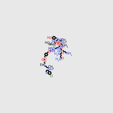 CCN(CCCC(C)Nc1ccnc2cc(Cl)ccc12)CCOC(=O)OCc1ccc(COC(=O)NC(=N)NCCC[C@H](NC(=O)[C@H](CCCCN)NC(=O)[C@@H](N)CCC(N)=O)C(=O)N[C@@H](C)C(=O)N[C@@H](C)C(=O)N[C@@H](Cc2ccc(O)cc2)C(=O)N[C@@H](CC(=O)O)C(=O)NC)cc1